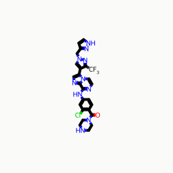 O=C(c1ccc(Nc2nccn3c(-c4cn(Cc5cc[nH]n5)nc4C(F)(F)F)cnc23)cc1Cl)N1CCNCC1